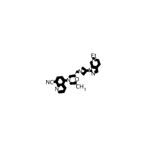 CCN1CCc2cnn(C3CN(C[C@H]4CN(c5ccc(C#N)c6ncccc56)C[C@@H](C)O4)C3)c2C1